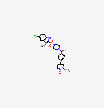 CC(=O)Oc1c(S(=O)(=O)N2CCN(C(=O)c3ccc(-c4cc[n+]([O-])c(C)c4)cc3)CC2)[nH]c2ccc(Cl)cc12